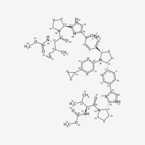 C=C(/C=C\C(=C/C)[C@H]1CC[C@H](c2ccc(-c3c[nH]c([C@@H]4CCCN4C(=O)[C@@H](NC(=O)OC)C(C)C)n3)cc2)N1c1ccc(C2CC2)cc1)c1c[nH]c([C@@H]2CCCN2C(=O)[C@@H](NC(=O)OC)C(C)C)n1